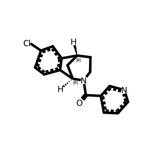 O=C(c1cccnc1)N1CC[C@@H]2C[C@@H]1c1ccc(Cl)cc12